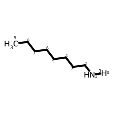 [2H]NCCCCCCCC